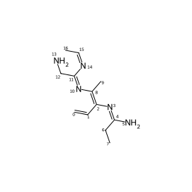 C=CC(/N=C(/N)CC)=C(C)\N=C(CN)/N=C\C